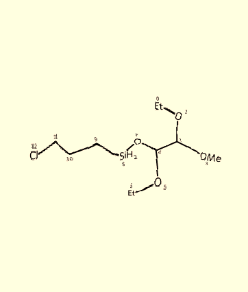 CCOC(OC)C(OCC)O[SiH2]CCCCl